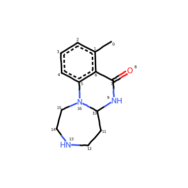 Cc1cccc2c1C(=O)NC1CCNCCN21